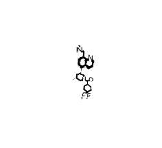 C/N=C/c1ccc([C@H]2C[C@@H](C)CN(C(=O)C3CCC(F)(F)CC3)C2)c2cccnc12